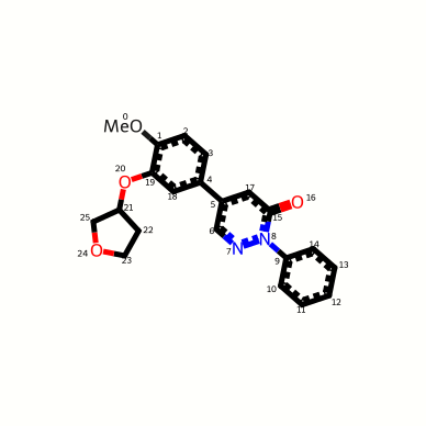 COc1ccc(-c2cnn(-c3ccccc3)c(=O)c2)cc1OC1CCOC1